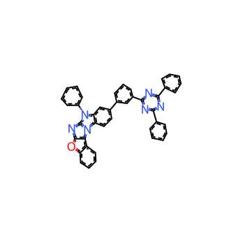 c1ccc(-c2nc(-c3ccccc3)nc(-c3cccc(-c4ccc5c(c4)n(-c4ccccc4)c4nc6oc7ccccc7c6n54)c3)n2)cc1